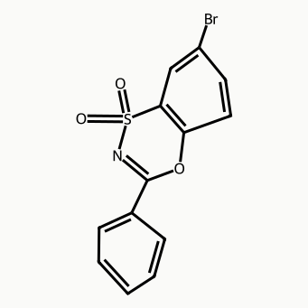 O=S1(=O)N=C(c2ccccc2)Oc2ccc(Br)cc21